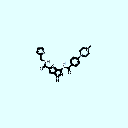 CN1CCN(c2ccc(C(=O)Nc3n[nH]c4cc(C(=O)NCc5cccs5)sc34)cc2)CC1